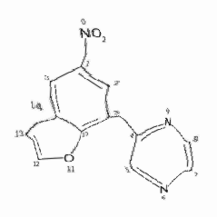 O=[N+]([O-])c1cc(-c2cnccn2)c2occc2c1